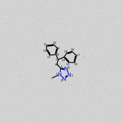 Cn1nnnc1CC(c1ccccc1)c1ccccc1